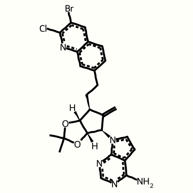 C=C1[C@@H](n2ccc3c(N)ncnc32)[C@@H]2OC(C)(C)O[C@@H]2[C@H]1CCc1ccc2cc(Br)c(Cl)nc2c1